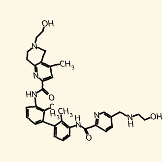 Cc1cc(C(=O)Nc2cccc(-c3cccc(NC(=O)c4ccc(CNCCO)cn4)c3C)c2C)nc2c1CN(CCO)CC2